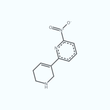 O=[N+]([O-])c1cccc(C2=CCCNC2)n1